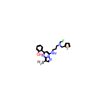 Bc1cnn2c(NCCCN(CF)Cc3cccs3)cc(-c3ccccc3O)nc12